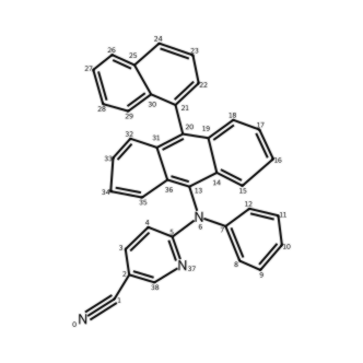 N#Cc1ccc(N(c2ccccc2)c2c3ccccc3c(-c3cccc4ccccc34)c3ccccc23)nc1